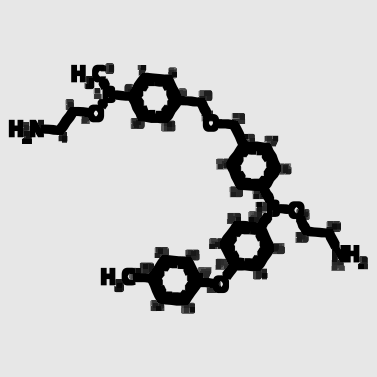 CB(OCCN)c1ccc(COCc2ccc(B(OCCN)c3ccc(Oc4ccc(C)cc4)cc3)cc2)cc1